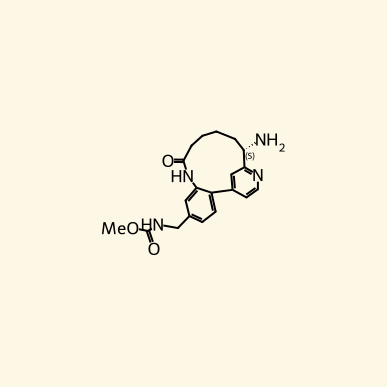 COC(=O)NCc1ccc2c(c1)NC(=O)CCCC[C@H](N)c1cc-2ccn1